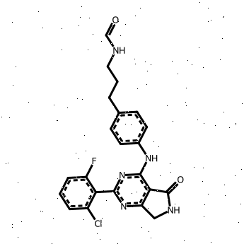 O=CNCCCc1ccc(Nc2nc(-c3c(F)cccc3Cl)nc3c2C(=O)NC3)cc1